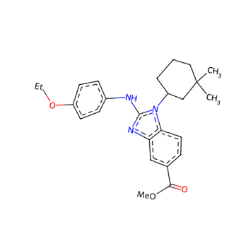 CCOc1ccc(Nc2nc3cc(C(=O)OC)ccc3n2C2CCCC(C)(C)C2)cc1